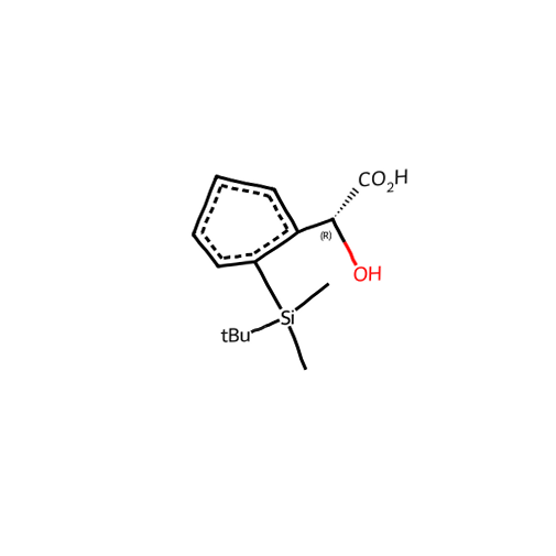 CC(C)(C)[Si](C)(C)c1ccccc1[C@@H](O)C(=O)O